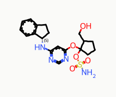 NS(=O)(=O)OC1(Oc2cc(N[C@H]3CCc4ccccc43)ncn2)CCCC1CO